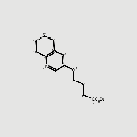 CCOC(=O)CCCOc1cnc2c(c1)CCCC2